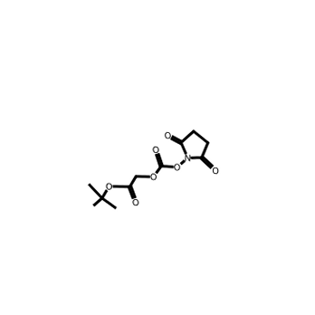 CC(C)(C)OC(=O)COC(=O)ON1C(=O)CCC1=O